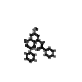 CCc1cc(C(C)C)cc(OC(=O)c2ccccc2)c1OC(=O)c1ccccc1